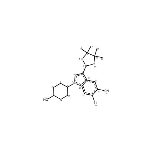 CC1(C)OB(c2cn(C3CCC(O)CC3)c3cc(Cl)c(C#N)cc23)OC1(C)C